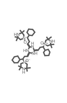 CC1(C)C[N+]([O-])(C(CC=C2NC(=CCC(C3CCCCC3)[N+]3([O-])CC(C)(C)NC(C)(C)C3)NC(=CCC(C3CCCCC3)[N+]3([O-])CC(C)(C)NC(C)(C)C3)N2)C2CCCCC2)CC(C)(C)N1